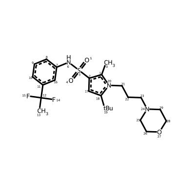 Cc1c(S(=O)(=O)Nc2cccc(C(C)(F)F)c2)cc(C(C)(C)C)n1CCCN1CCOCC1